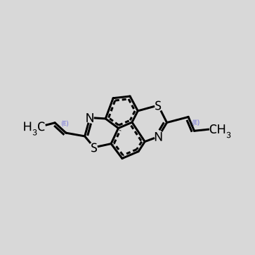 C/C=C/C1=Nc2ccc3c4c(ccc(c24)S1)N=C(/C=C/C)S3